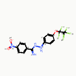 N=C(NNc1ccc(OC(F)(F)C(F)(F)F)cc1)c1ccc([N+](=O)[O-])cc1